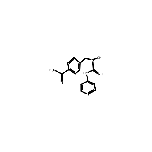 N#CN(Cc1ccc(C(N)=O)cc1)C(=N)Nc1ccncc1